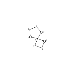 C1COC2(CCO2)O1